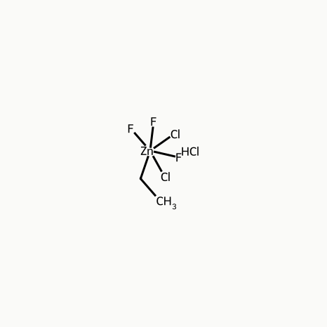 C[CH2][Zn]([F])([F])([F])([Cl])[Cl].Cl